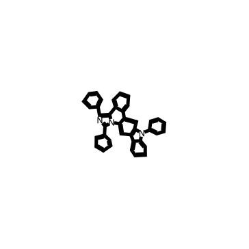 c1ccc(-c2nc(-c3ccccc3)n3c4cc5c6ccccc6n(-c6ccccc6)c5cc4c4ccccc4c23)cc1